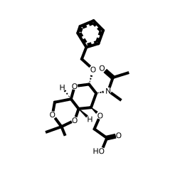 CC(=O)N(C)[C@H]1[C@@H](OCc2ccccc2)O[C@@H]2COC(C)(C)O[C@H]2[C@@H]1OCC(=O)O